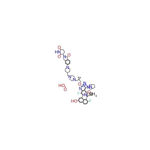 C#Cc1c(F)ccc2cc(O)cc(-c3nc(OC)c4c(N5CC6CCC(C5)N6CC#N)nc(OCC5(CN6CCN(CC7CCN(c8ccc9c(c8)CN(C8CCC(=O)NC8=O)C9=O)CC7)CC6)CC5)nc4c3F)c12.O=CO